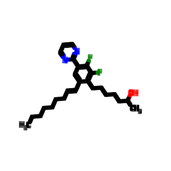 CCCCCCCC=Cc1cc(-c2ncccn2)c(F)c(F)c1CCCCCC(C)O